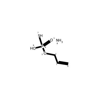 C=CCOP(=O)(O)S.N